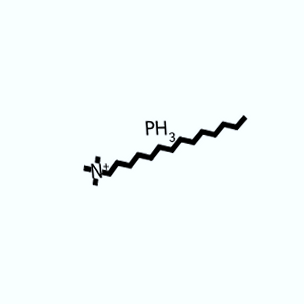 CCCCCCCCCCCCCC[N+](C)(C)C.P